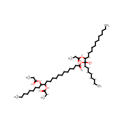 CCCCCCCCCCCCC(OC(=O)CC)C(O)(CCCCCCCC)OC(=O)CCCCCCCCCCCC(OC(=O)CC)C(CCCCCCCC)OC(=O)CC